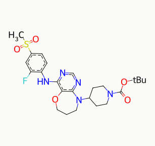 CC(C)(C)OC(=O)N1CCC(N2CCCOc3c(Nc4ccc(S(C)(=O)=O)cc4F)ncnc32)CC1